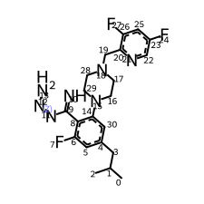 CC(C)Cc1cc(F)c(C(=N)/N=N\N)c(N2CCN(Cc3ncc(F)cc3F)CC2)c1